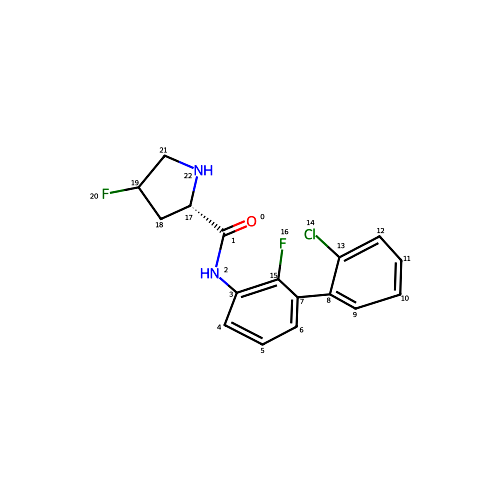 O=C(Nc1cccc(-c2ccccc2Cl)c1F)[C@@H]1CC(F)CN1